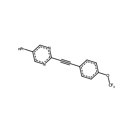 CCCc1cnc(C#Cc2ccc(OC(F)(F)F)cc2)nc1